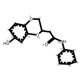 O=C(CC1COc2ccc(O)cc2O1)Nc1ccccc1